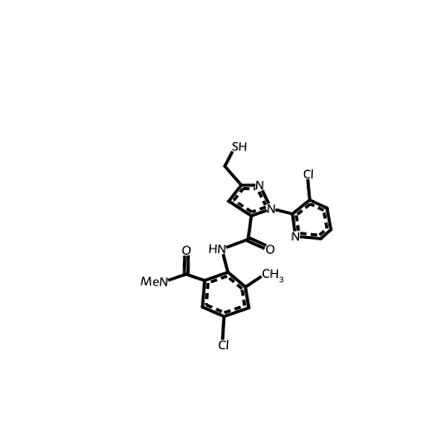 CNC(=O)c1cc(Cl)cc(C)c1NC(=O)c1cc(CS)nn1-c1ncccc1Cl